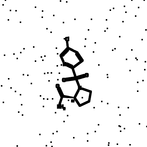 NC(=O)[C@H]1CCCN1S(=O)(=O)c1ccc(Cl)cn1